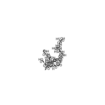 CC[C@H](C)[C@H](NC(=O)[C@H](CCC(=O)O)NC(=O)[C@H](CS)NC(=O)[C@@H](NC(=O)CNC(=O)[C@@H]1CCCN1)[C@@H](C)O)C(=O)N[C@@H](C)C(=O)N[C@@H](CS)C(=O)N[C@@H](C)C(=O)N[C@@H](C)C(=O)N[C@@H](Cc1ccc(O)cc1)C(=O)N[C@@H](C)C(=O)N[C@@H](C)C(=O)N[C@@H](CS)C(=O)N[C@H](C(=O)NCC(=O)N[C@@H](CS)C(=O)O)[C@@H](C)O